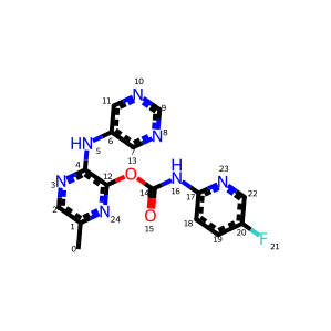 Cc1cnc(Nc2cncnc2)c(OC(=O)Nc2ccc(F)cn2)n1